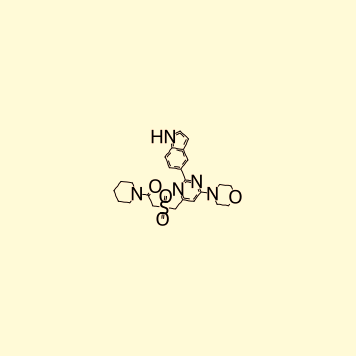 O=C(CS(=O)(=O)Cc1cc(N2CCOCC2)nc(-c2ccc3[nH]ccc3c2)n1)N1CCCCC1